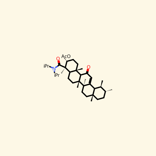 CC(=O)O[C@@H]1CC[C@@]2(C)C(CC[C@]3(C)C2C(=O)C=C2C4[C@@H](C)[C@H](C)CC[C@]4(C)CC[C@]23C)[C@@]1(C)C(=O)N(C(C)C)C(C)C